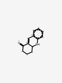 O=C1CCCC2Nc3ccccc3C=C12